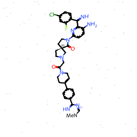 CN/C=N\C(=N)c1ccc(C2=CCN(C(=O)CN3CC[C@]4(CCN(c5ccc(N)c(C(=N)c6ccc(Cl)cc6F)n5)C4=O)C3)CC2)cc1